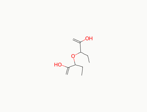 C=C(O)C(CC)OC(CC)C(=C)O